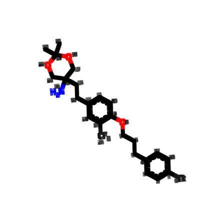 CCc1ccc(CCCOc2ccc(CCC3(N)COC(C)(C)OC3)cc2C(F)(F)F)cc1